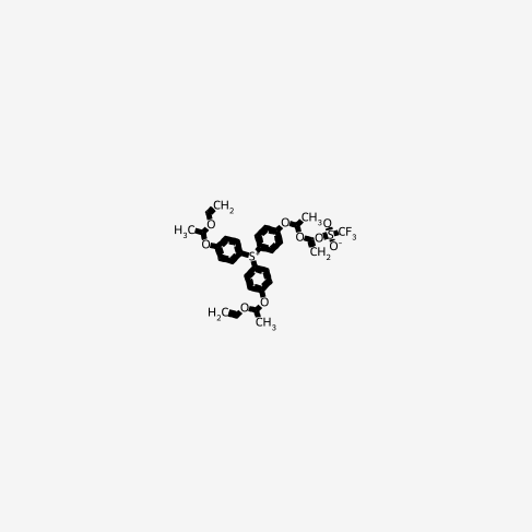 C=COC(C)Oc1ccc([S+](c2ccc(OC(C)OC=C)cc2)c2ccc(OC(C)OC=C)cc2)cc1.O=S(=O)([O-])C(F)(F)F